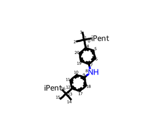 CCCC(C)C(C)(C)c1ccc(Nc2ccc(C(C)(C)C(C)CCC)cc2)cc1